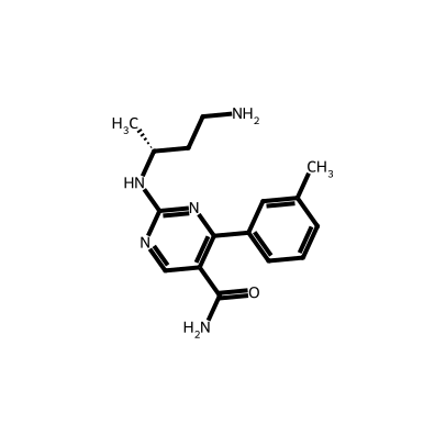 Cc1cccc(-c2nc(N[C@H](C)CCN)ncc2C(N)=O)c1